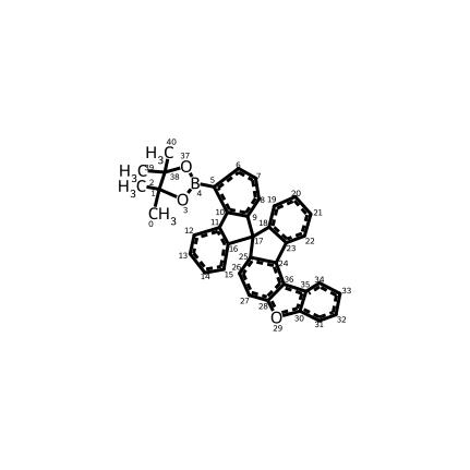 CC1(C)OB(c2cccc3c2-c2ccccc2C32c3ccccc3-c3c2ccc2oc4ccccc4c32)OC1(C)C